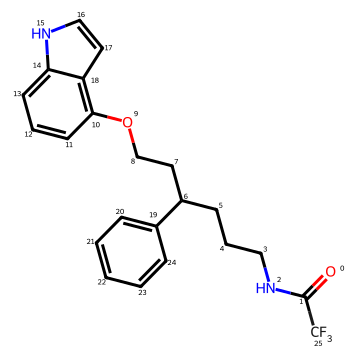 O=C(NCCCC(CCOc1cccc2[nH]ccc12)c1ccccc1)C(F)(F)F